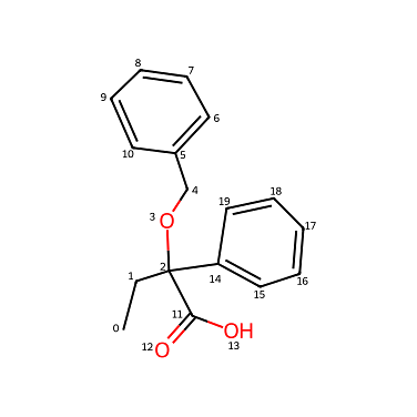 CCC(OCc1ccccc1)(C(=O)O)c1ccccc1